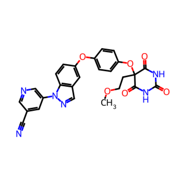 COCCC1(Oc2ccc(Oc3ccc4c(cnn4-c4cncc(C#N)c4)c3)cc2)C(=O)NC(=O)NC1=O